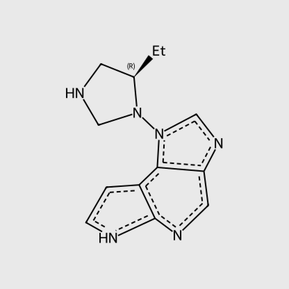 CC[C@@H]1CNCN1n1cnc2cnc3[nH]ccc3c21